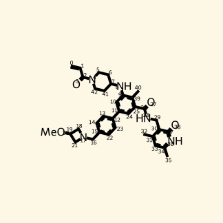 C=CC(=O)N1CCC(Nc2cc(-c3ccc(CN4CC(OC)C4)cc3)cc(C(=O)NCc3c(C)cc(C)[nH]c3=O)c2C)CC1